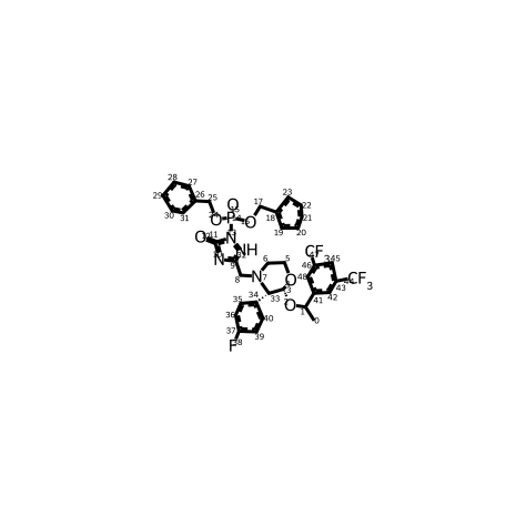 CC(O[C@H]1OCCN(Cc2nc(=O)n(P(=O)(OCc3ccccc3)OCc3ccccc3)[nH]2)[C@H]1c1ccc(F)cc1)c1cc(C(F)(F)F)cc(C(F)(F)F)c1